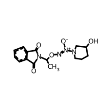 CC(ON=[N+]([O-])N1CCCC(O)C1)N1C(=O)c2ccccc2C1=O